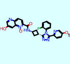 CCOc1ccc(-c2nnc([C@H]3C[C@H](NC(=O)c4ccc5ncc(O)cc5[n+]4[O-])C3)n2-c2ccccc2F)nc1